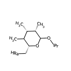 CC(C)OC1O[C@H]([CH2][RaH])C(C)[C@H](C)[C@@H]1C